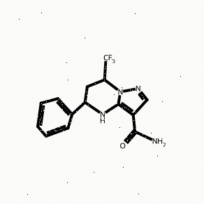 NC(=O)c1cnn2c1NC(c1ccccc1)CC2C(F)(F)F